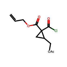 C=CCOC(=O)C1(C(=O)Cl)CC1COC(C)=O